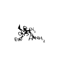 CCOCCn1c(=O)n(C2CC2)c(=O)c2c(C)c(CNCCN)sc21